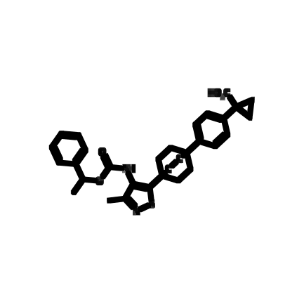 Cc1nsc(C23CCC(c4ccc(C5(C(=O)O)CC5)cc4)(CC2)CC3)c1NC(=O)OC(C)c1ccccc1